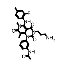 CC(=O)Nc1cccc(-n2c(=O)n(CCCN)c(=O)c3c(Nc4ccc(C)cc4F)n(C)c(=O)c(C)c32)c1